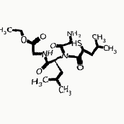 CCOC(=O)CNC(=O)[C@H](CC(C)C)N(C(=O)CN)C(=O)C(S)CC(C)C